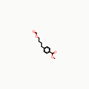 COC(=O)c1ccc(CCCCO[C]=O)cc1